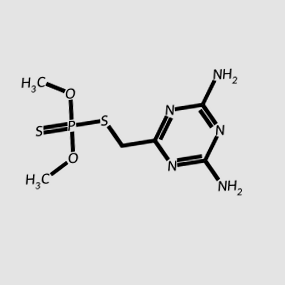 COP(=S)(OC)SCc1nc(N)nc(N)n1